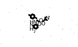 Cc1ccc(C[C@H](Nc2ccccc2N)C(=O)OC(=O)C2CN(C)C2)cc1